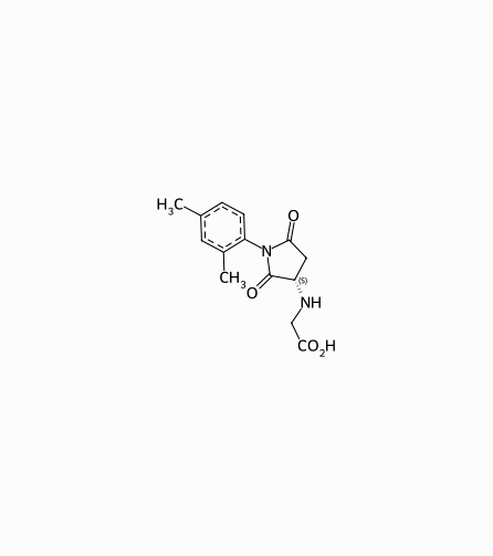 Cc1ccc(N2C(=O)C[C@H](NCC(=O)O)C2=O)c(C)c1